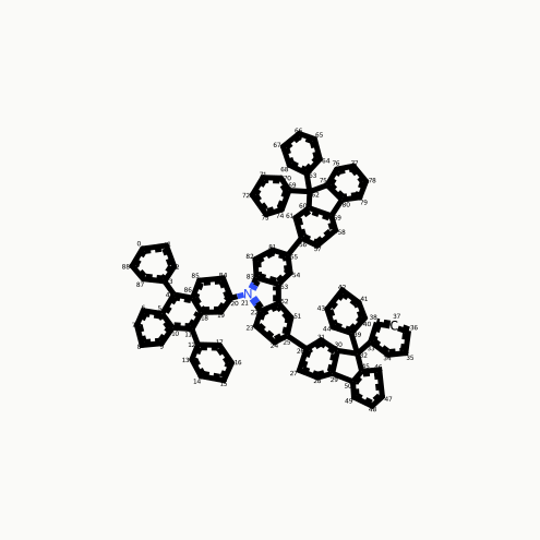 c1ccc(-c2c3ccccc3c(-c3ccccc3)c3cc(-n4c5ccc(-c6ccc7c(c6)C(c6ccccc6)(c6ccccc6)c6ccccc6-7)cc5c5cc(-c6ccc7c(c6)C(c6ccccc6)(c6ccccc6)c6ccccc6-7)ccc54)ccc23)cc1